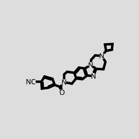 N#Cc1ccc(C(=O)N2CCc3cc4c(cc3C2)nc2n4CCN(C3CCC3)CC2)cc1